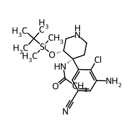 CC(=O)N[C@@]1(c2cc(C#N)cc(N)c2Cl)CCNC[C@H]1O[Si](C)(C)C(C)(C)C